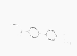 O=C(CCl)c1ccc(-c2ccc(S(=O)O)cc2)cc1